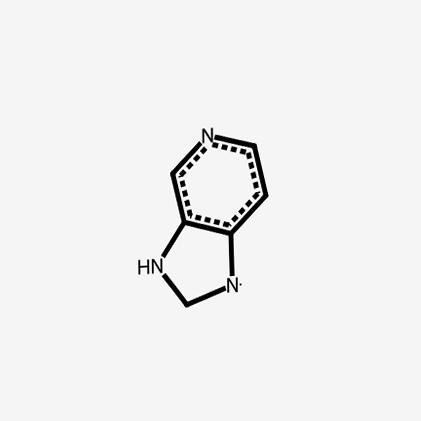 c1cc2c(cn1)NC[N]2